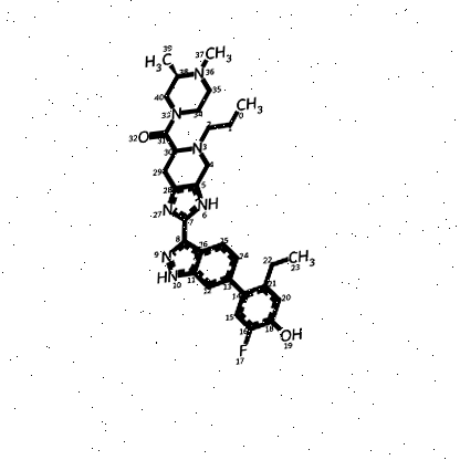 CCCN1Cc2[nH]c(-c3n[nH]c4cc(-c5cc(F)c(O)cc5CC)ccc34)nc2CC1C(=O)N1CCN(C)[C@H](C)C1